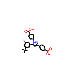 COC(=O)c1ccc(-c2cc(-c3cc(I)cc(C(C)(C)C)c3)n(-c3ccc(C(=O)O)cc3)n2)cc1